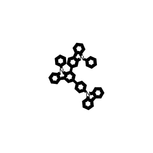 c1ccc(-n2c3ccccc3c3ccc(-c4cc(-c5ccc(-n6c7ccccc7c7ccccc76)cc5)cc5c6ccccc6n(-c6ccccc6)c45)cc32)cc1